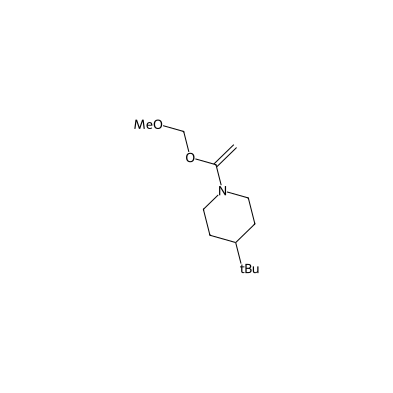 C=C(OCOC)N1CCC(C(C)(C)C)CC1